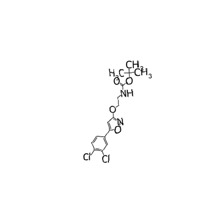 CC(C)(C)OC(=O)NCCOc1cc(-c2ccc(Cl)c(Cl)c2)on1